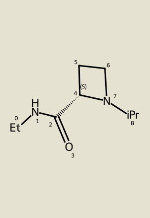 CCNC(=O)[C@@H]1CCN1C(C)C